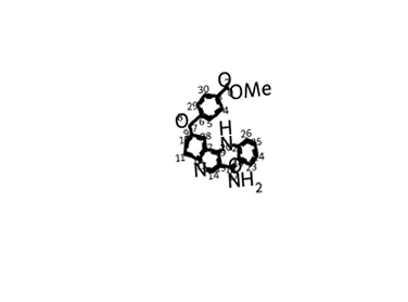 COC(=O)c1ccc(C(=O)c2ccc3ncc(C(N)=O)c(Nc4ccccc4)c3c2)cc1